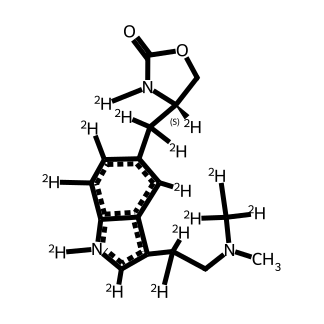 [2H]c1c(C([2H])([2H])[C@@]2([2H])COC(=O)N2[2H])c([2H])c2c(C([2H])([2H])CN(C)C([2H])([2H])[2H])c([2H])n([2H])c2c1[2H]